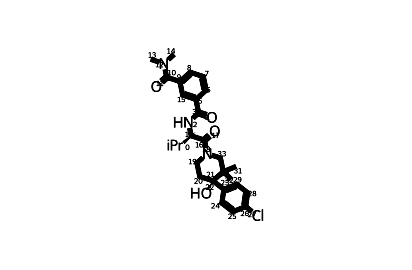 CC(C)[C@@H](NC(=O)c1cccc(C(=O)N(C)C)c1)C(=O)N1CC[C@](O)(c2ccc(Cl)cc2)C(C)(C)C1